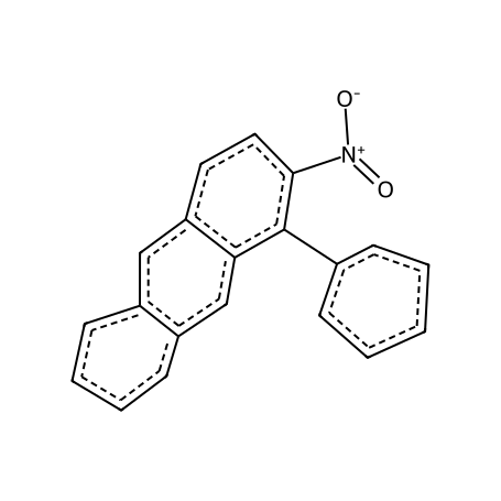 O=[N+]([O-])c1ccc2cc3ccccc3cc2c1-c1ccccc1